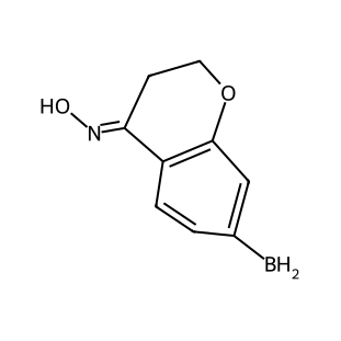 Bc1ccc2c(c1)OCC/C2=N\O